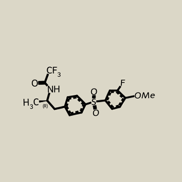 COc1ccc(S(=O)(=O)c2ccc(C[C@@H](C)NC(=O)C(F)(F)F)cc2)cc1F